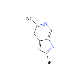 CC(C)C1=NC2=CN=C(C#N)CC2=C1